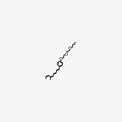 C\C=C/C(C)=C\C=C\C=C\c1ccc(OCCOCCOCCF)cc1